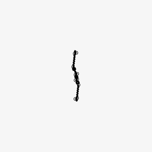 C=CC(=O)OCCCCCCCCCCCOc1ccc(C#CC(=O)Oc2ccc(OC(=O)[C@H]3CC[C@@H](OCCCCCCCCCCCOC(=O)C=C)CC3)cc2)cc1